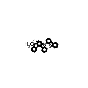 CC1(C)c2ccccc2-c2c1ccc1c2c2ccccc2n1-c1cccc2c1sc1ccccc12